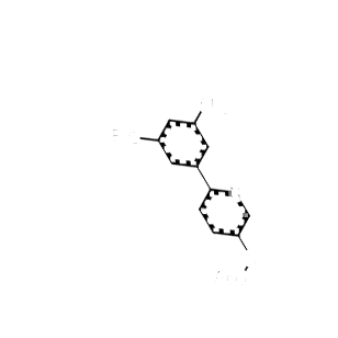 CC(=O)OSc1ccc(-c2cc(C(F)(F)F)cc(C(F)(F)F)c2)nc1